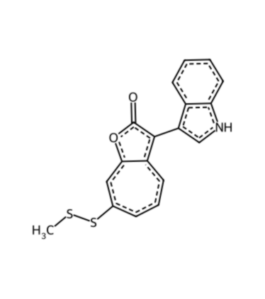 CSSc1cccc2c(-c3c[nH]c4ccccc34)c(=O)oc-2c1